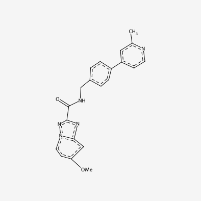 COc1ccn2nc(C(=O)NCc3ccc(-c4ccnc(C)c4)cc3)nc2c1